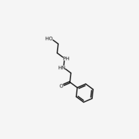 O=C(CNPCCO)c1ccccc1